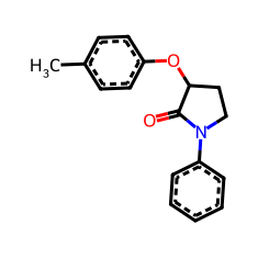 Cc1ccc(OC2CCN(c3ccccc3)C2=O)cc1